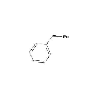 CC[C@H](C)Cc1ccccc1